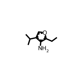 CCc1occ(C(C)C)c1N